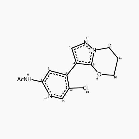 CC(=O)Nc1cc(-c2cnn3c2OCCC3)c(Cl)cn1